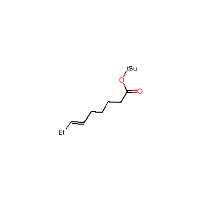 CCC=CCCCCC(=O)OC(C)(C)C